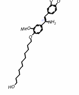 COc1cc(/C(N)=C/c2ccc3c(c2)OCO3)ccc1OCCCCCCCCCCCO